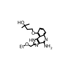 CCOCc1nc2c(N)nc3cccc(OCCC(C)(C)O)c3c2[nH]1